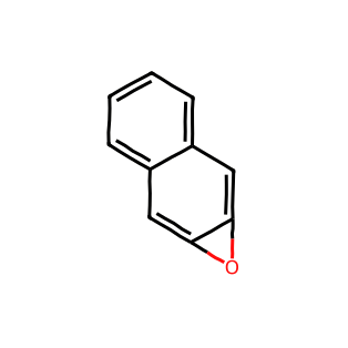 c1ccc2cc3c(cc2c1)O3